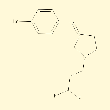 FC(F)CCN1CCC(=Cc2ccc(Br)cc2)C1